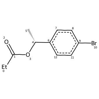 CCC(=O)O[C@H](C)c1ccc(Br)cc1